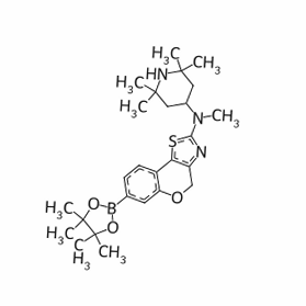 CN(c1nc2c(s1)-c1ccc(B3OC(C)(C)C(C)(C)O3)cc1OC2)C1CC(C)(C)NC(C)(C)C1